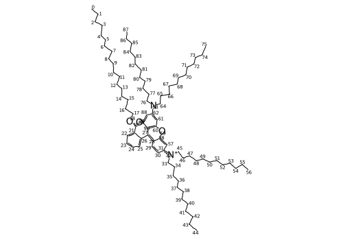 CCCCCCCCCCCCCCCCCCOC(=O)c1ccccc1-c1c2ccc(=[N+](CCCCCCCCCCCC)CCCCCCCCCCCC)cc-2oc2cc(N(CCCCCCCCCCCC)CCCCCCCCCCCC)ccc12